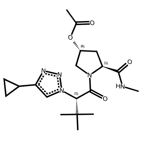 CNC(=O)[C@@H]1C[C@@H](OC(C)=O)CN1C(=O)[C@@H](n1cc(C2CC2)nn1)C(C)(C)C